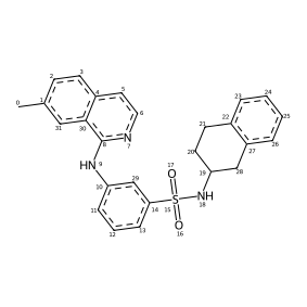 Cc1ccc2ccnc(Nc3cccc(S(=O)(=O)NC4CCc5ccccc5C4)c3)c2c1